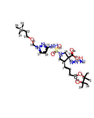 CC1(C)OB(CCC[C@H]2CN(S(=O)(=O)Nc3ccn(COCC[Si](C)(C)C)n3)C[C@@]2(N=[N+]=[N-])C(=O)O)OC1(C)C